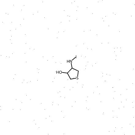 OC1CSCC1NI